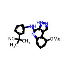 COc1cccc2nc(Nc3cccc(C(C)(C)C#N)c3)c3[nH]ncc3c12